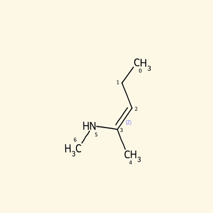 CC/C=C(/C)NC